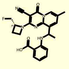 Cc1cc(C(C)Nc2ccccc2C(=O)O)c2nc(N3CC[C@@H]3CF)c(C#N)c(=O)n2c1